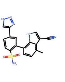 Cc1ccc(-c2cc(-c3c[nH]nn3)ccc2S(N)(=O)=O)c2[nH]cc(C#N)c12